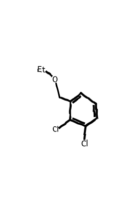 [CH2]COCc1cccc(Cl)c1Cl